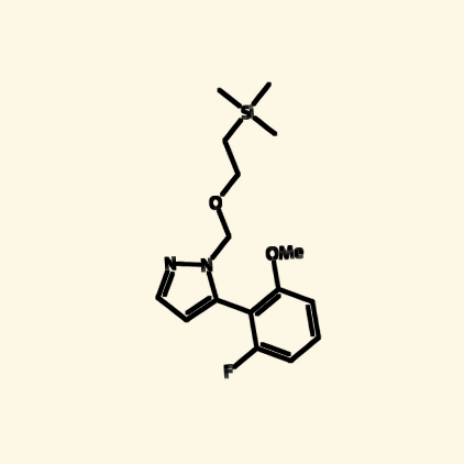 COc1cccc(F)c1-c1ccnn1COCC[Si](C)(C)C